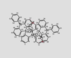 OC1(c2ccccc2N(c2ccccc2)c2ccccc2C2(O)c3ccccc3N(c3ccccc3)c3ccccc32)c2ccccc2N(c2ccccc2)c2ccccc21